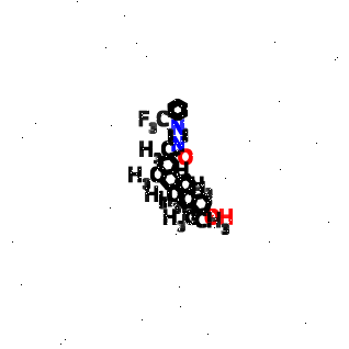 CC1(C)[C@@H](O)CC[C@]2(C)[C@H]3CC=C4[C@@H]5C[C@@](C)(C(=O)N6CCN(c7ccccc7C(F)(F)F)CC6)CC[C@]5(C)CC[C@@]4(C)[C@]3(C)CC[C@@H]12